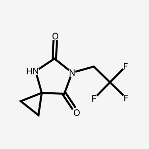 O=C1NC2(CC2)C(=O)N1CC(F)(F)F